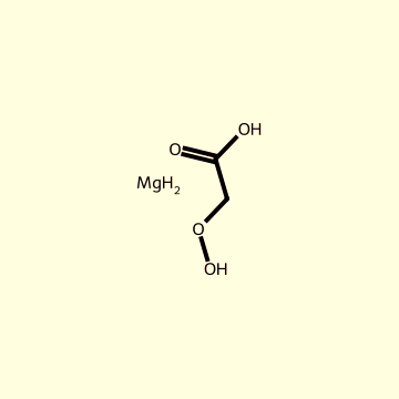 O=C(O)COO.[MgH2]